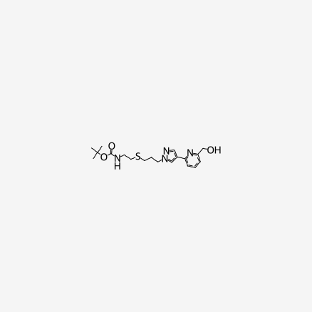 CC(C)(C)OC(=O)NCCSCCCn1cc(-c2cccc(CO)n2)cn1